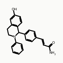 NC(=O)C=Cc1ccc(C2c3ccc(O)cc3CCN2c2ccccc2)cc1